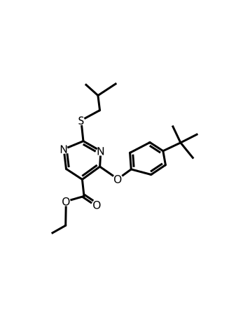 CCOC(=O)c1cnc(SCC(C)C)nc1Oc1ccc(C(C)(C)C)cc1